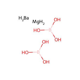 OB(O)O.OB(O)O.[BaH2].[MgH2]